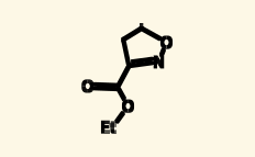 CCOC(=O)C1=NO[CH]C1